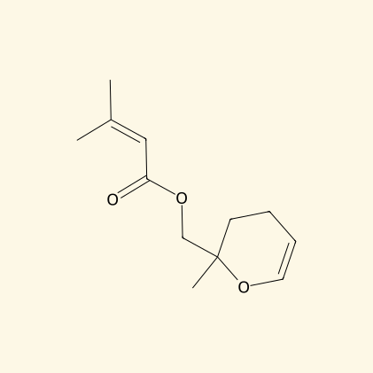 CC(C)=CC(=O)OCC1(C)CCC=CO1